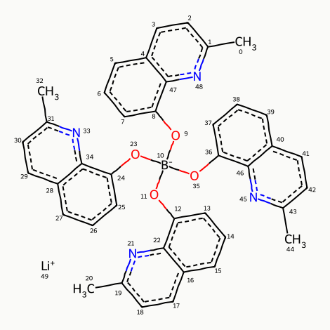 Cc1ccc2cccc(O[B-](Oc3cccc4ccc(C)nc34)(Oc3cccc4ccc(C)nc34)Oc3cccc4ccc(C)nc34)c2n1.[Li+]